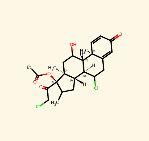 CCC(=O)O[C@]1(C(=O)CCl)C(C)C[C@H]2[C@@H]3C(Cl)CC4=CC(=O)C=C[C@]4(C)[C@H]3C(O)C[C@@]21C